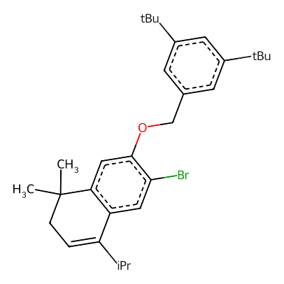 CC(C)C1=CCC(C)(C)c2cc(OCc3cc(C(C)(C)C)cc(C(C)(C)C)c3)c(Br)cc21